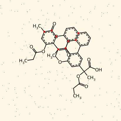 CCC(=O)Oc1ccccc1C1=C(c2ccccc2OC(=O)CC)c2c(cc(C(C)(OC(=O)CC)C(=O)O)cc2-c2ccccc2OC(=O)CC)OC1